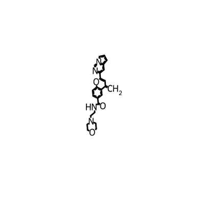 C=C1C=C(c2cc3cccn3cn2)Oc2ccc(C(=O)NCCN3CCOCC3)cc21